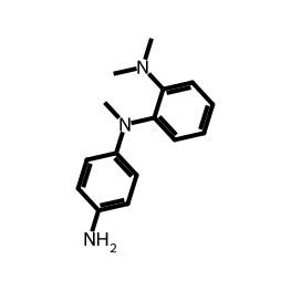 CN(C)c1ccccc1N(C)c1ccc(N)cc1